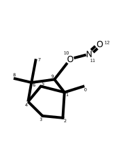 CC12CCC(C1)C(C)(C)C2ON=O